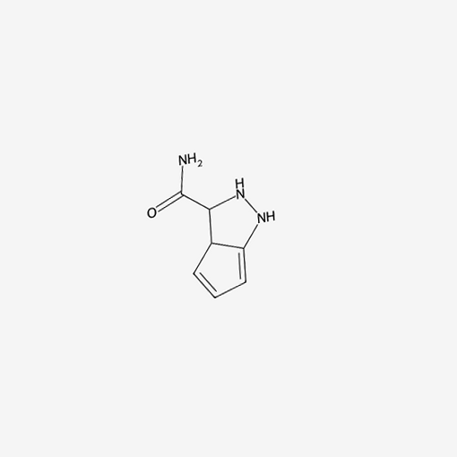 NC(=O)C1NNC2=CC=CC21